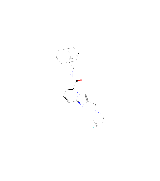 O=C(NCC12CC3CC(CC(C3)C1)C2)c1cccc2nc(CN3CC[C@@H](F)C3)cn12